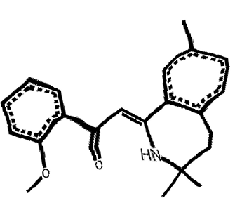 COc1ccccc1C(=O)/C=C1\NC(C)(C)Cc2ccc(C)cc21